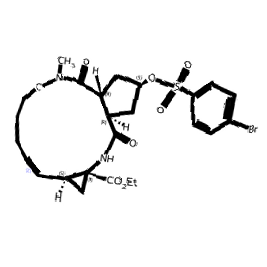 CCOC(=O)[C@@]12C[C@H]1/C=C\CCCCN(C)C(=O)[C@@H]1C[C@@H](OS(=O)(=O)c3ccc(Br)cc3)C[C@H]1C(=O)N2